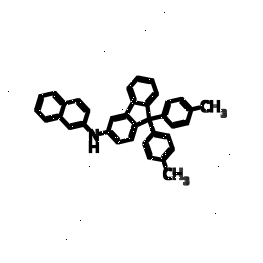 Cc1ccc(C2(c3ccc(C)cc3)c3ccccc3-c3cc(Nc4ccc5ccccc5c4)ccc32)cc1